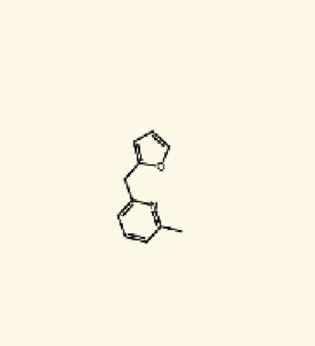 Cc1cccc(Cc2ccco2)n1